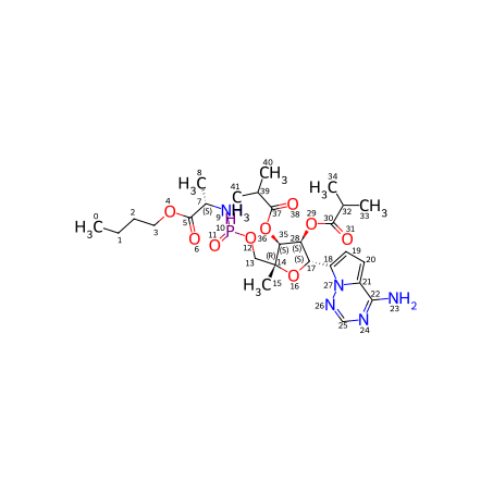 CCCCOC(=O)[C@H](C)N[PH](=O)OC[C@@]1(C)O[C@@H](c2ccc3c(N)ncnn23)[C@H](OC(=O)C(C)C)[C@@H]1OC(=O)C(C)C